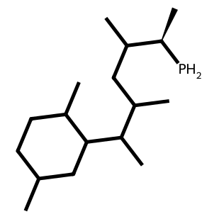 CC1CCC(C)C(C(C)C(C)CC(C)[C@@H](C)P)C1